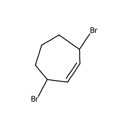 BrC1C=CC(Br)CCC1